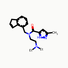 CCN(CC)CCN(Cc1cccc2c1C=CC2)C(=O)c1cc(C)n[nH]1